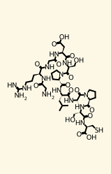 CC(C)C[C@H](NC(=O)[C@@H]1CCCN1C(=O)[C@H](CO)NC(=O)[C@H](CC(=O)O)NC(=O)CNC(=O)[C@H](CCCNC(=N)N)NC(=O)CN)C(=O)N[C@@H](C)C(=O)N1CCC[C@H]1C(=O)N[C@@H](CO)C(=O)N[C@@H](CS)C(=O)O